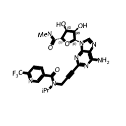 CNC(=O)[C@H]1O[C@@H](n2cnc3c(N)nc(C#CCN(C(=O)c4ccc(C(F)(F)F)nc4)C(C)C)nc32)[C@H](O)[C@@H]1O